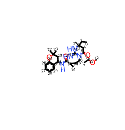 CC[C@]1(C)CC(=O)N([C@H](CCOC)[C@@H]2C[C@H]2C(=O)N[C@H]2CC(C)(C)Oc3ccccc32)C(=N)N1